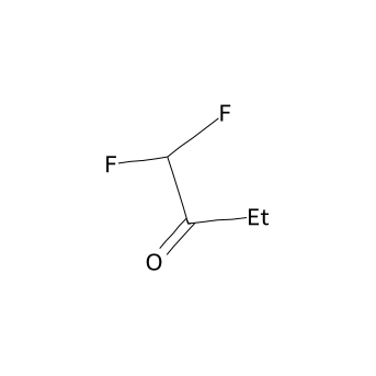 [CH2]CC(=O)C(F)F